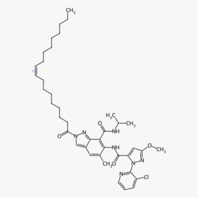 CCCCCCCC/C=C\CCCCCCCC(=O)n1cc2cc(C)c(NC(=O)c3cc(OC)nn3-c3ncccc3Cl)c(C(=O)NC(C)C)c2n1